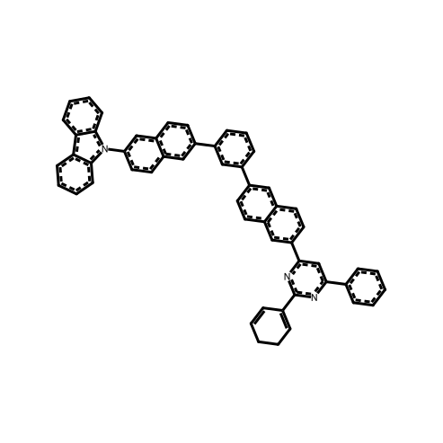 C1=CC(c2nc(-c3ccccc3)cc(-c3ccc4cc(-c5cccc(-c6ccc7cc(-n8c9ccccc9c9ccccc98)ccc7c6)c5)ccc4c3)n2)=CCC1